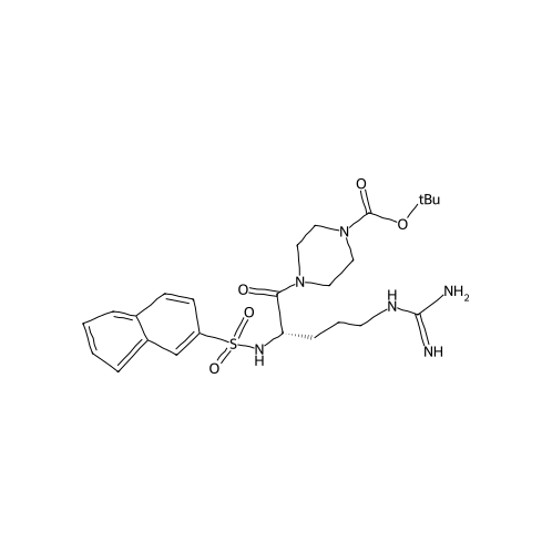 CC(C)(C)OC(=O)N1CCN(C(=O)[C@H](CCCNC(=N)N)NS(=O)(=O)c2ccc3ccccc3c2)CC1